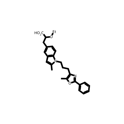 CCOC(Cc1ccc2c(c1)cc(C)n2CCCc1nc(-c2ccccc2)oc1C)C(=O)O